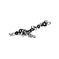 COC(=O)[C@@H](Cc1ccc(-c2ccc(C#N)cc2)cc1)NC(=O)C1Cc2cc3c(cc2CN1C(=O)OC(C)(C)C)OC(c1ccc(OCc2ccc(Cl)c(Cl)c2)cc1)CO3